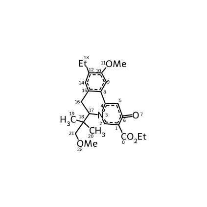 CCOC(=O)c1cn2c(cc1=O)-c1cc(OC)c(CC)cc1CC2C(C)(C)COC